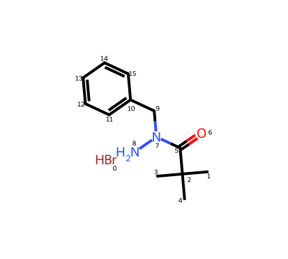 Br.CC(C)(C)C(=O)N(N)Cc1ccccc1